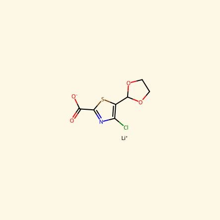 O=C([O-])c1nc(Cl)c(C2OCCO2)s1.[Li+]